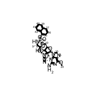 COC(=O)[C@H](C)NP(=O)(OC[C@H]1O[C@@H](n2cnc3c(OC)nc(N)nc32)[C@](C)(N=[N+]=[N-])C1O)Oc1cccc2ccccc12